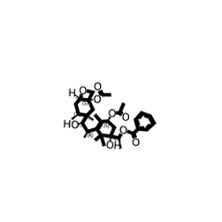 CC(=O)O[C@H]1C[C@@](O)([C@H](C)OC(=O)c2ccccc2)C(C)(C)C([C@@H](C)[C@H](O)[C@@]2(C)C[C@]3(OC(C)=O)CO[C@@H]3C[C@@H]2C)=C1C